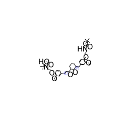 COc1cc(/C=C2\CCCC(C(=O)/C=C/c3ccc(OCCN(C(=O)O)C(C)(C)C)c(OC)c3)C2=O)ccc1OCCNC(=O)OC(C)(C)C